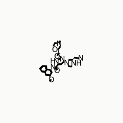 COc1cc(NC(=O)c2cc(N3CCN[C@@H](CC#N)C3)nc(OC[C@@H]3CN(C)CCO3)n2)c2ccccc2c1